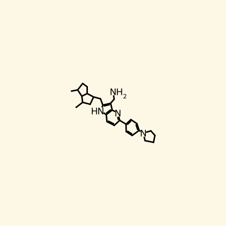 CC1CCC2C(Cc3[nH]c4ccc(-c5ccc(N6CCCC6)cc5)nc4c3CN)CC(C)C12